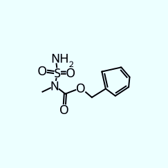 CN(C(=O)OCc1ccccc1)S(N)(=O)=O